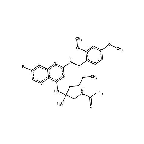 CCCCC(C)(CNC(C)=O)Nc1nc(NCc2ccc(OC)cc2OC)nc2cc(F)cnc12